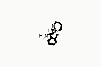 C[C@](N)(CS1(=O)=NCCCCN1)c1ccccc1F